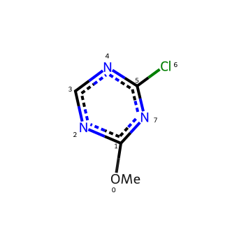 COc1ncnc(Cl)n1